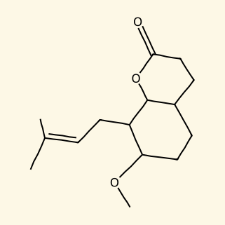 COC1CCC2CCC(=O)OC2C1CC=C(C)C